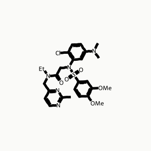 CCN(Cc1ccnc(C)n1)C(=O)CN(c1cc(N(C)C)ccc1Cl)S(=O)(=O)c1ccc(OC)c(OC)c1